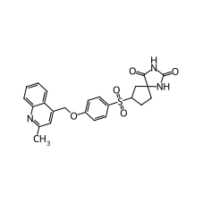 Cc1cc(COc2ccc(S(=O)(=O)C3CCC4(C3)NC(=O)NC4=O)cc2)c2ccccc2n1